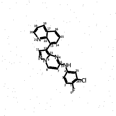 Fc1ccc(Nc2ccn3ncc(-c4cccc5cccnc45)c3n2)cc1Cl